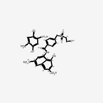 Nc1cc(Cl)c(S(=O)(=O)O)cc1Cl.O=C(Nc1cc(S(=O)(=O)O)cc2cc(S(=O)(=O)O)cc(O)c12)c1ccc(CS(=O)(=O)CCCl)cc1